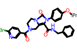 CC(C)Oc1ccc(-n2c(C(=O)NCc3ccccc3)c3n(c2=O)CCN(C(=O)c2ccc(Br)nc2)C3)cc1